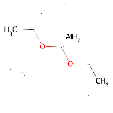 CCO[CH]OCC.[AlH3]